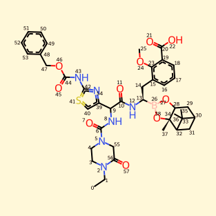 CCN1CCN(C(=O)NC(C(=O)N[C@@H](Cc2cccc(C(=O)O)c2OC)B2OC3CC4CC(C4(C)C)[C@]3(C)O2)c2csc(NC(=O)OCc3ccccc3)n2)CC1=O